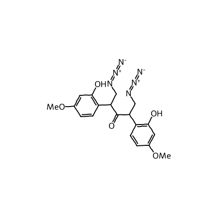 COc1ccc(C(CN=[N+]=[N-])C(=O)C(CN=[N+]=[N-])c2ccc(OC)cc2O)c(O)c1